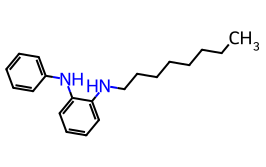 CCCCCCCCNc1ccccc1Nc1ccccc1